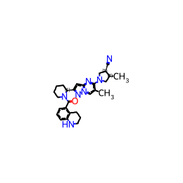 Cc1cn2nc([C@@H]3CCCCN3C(=O)c3cccc4c3CCCN4)cc2nc1N1C[C@@H](C#N)[C@@H](C)C1